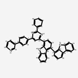 c1ccc(-c2nc(-c3ccc(-c4cccnc4)cc3)cc(-c3ccc(-c4cccc5c4oc4ccccc45)c4c3oc3ccccc34)n2)cc1